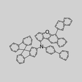 c1ccc(-c2ccc(N(c3ccc4c(c3)C3(c5ccccc5-c5ccccc53)c3ccccc3-4)c3cccc4oc5c(-c6ccc7ccccc7c6)c6ccccc6cc5c34)cc2)cc1